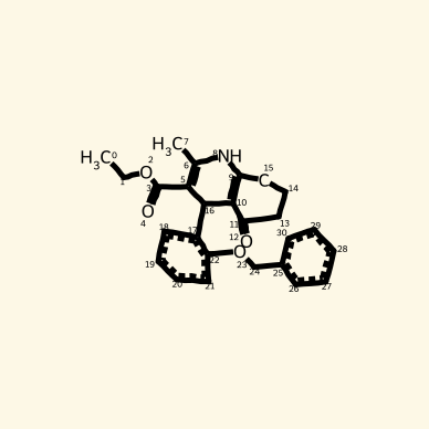 CCOC(=O)C1=C(C)NC2=C(C(=O)CCC2)C1c1ccccc1OCc1ccccc1